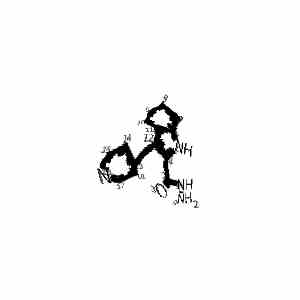 NNC(=O)c1[nH]c2ccccc2c1-c1ccncc1